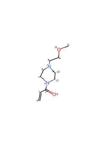 C=CC(=O)N1CCN(CCOC)CC1